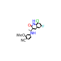 COc1cc(N[C@@H](C)c2cc3cc(F)cc(Cl)c3[nH]c2=O)ccc1C#N